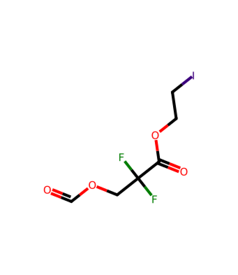 O=COCC(F)(F)C(=O)OCCI